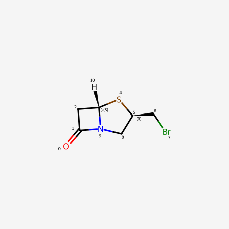 O=C1C[C@@H]2S[C@@H](CBr)CN12